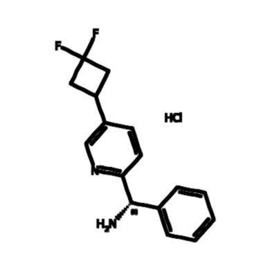 Cl.N[C@@H](c1ccccc1)c1ccc(C2CC(F)(F)C2)cn1